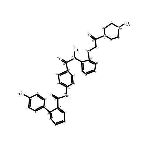 Cc1ccc(-c2ccccc2C(=O)Nc2ccc(C(=O)N(C)c3ccccc3OCC(=O)N3CCN(C)CC3)cc2)cc1